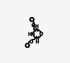 c1ccc(COCCC2CNCC(CCOCc3ccccc3)NCCOCCN2)cc1